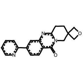 O=c1c2ccc(-c3ccccn3)cc2nc2n1CC1(CC2)COC1